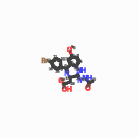 COc1ccc2c(c1)C(c1ccc(Br)cc1)=NC(CC(=O)O)C(=NNC(C)=O)N2